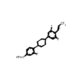 CCCCCc1ccc(C2CCC(c3cc(F)c(/C=C/C(F)(F)F)c(F)c3)CC2)c(F)c1